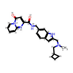 CN(Cc1cc2ccc(CNC(=O)c3cc(=O)n4ccccc4n3)cc2[nH]1)CC1CCC1